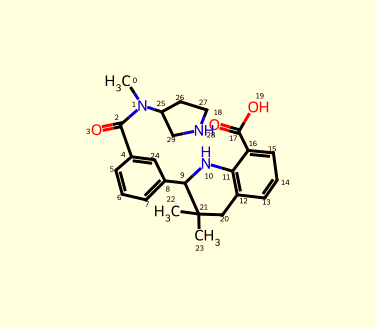 CN(C(=O)c1cccc(C2Nc3c(cccc3C(=O)O)CC2(C)C)c1)C1CCNC1